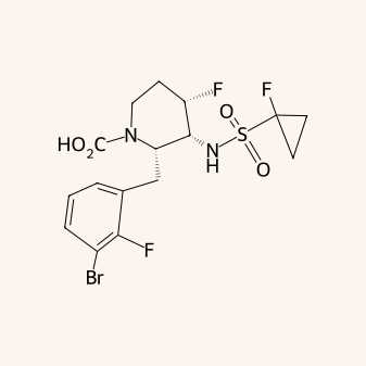 O=C(O)N1CC[C@H](F)[C@H](NS(=O)(=O)C2(F)CC2)[C@@H]1Cc1cccc(Br)c1F